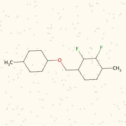 CC1CCC(OCC2CCC(C)C(F)C2F)CC1